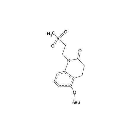 CCCCOc1cccc2c1CCC(=O)N2CCS(C)(=O)=O